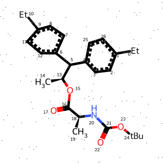 CCc1ccc(C(c2ccc(CC)cc2)[C@H](C)OC(=O)[C@H](C)NC(=O)OC(C)(C)C)cc1